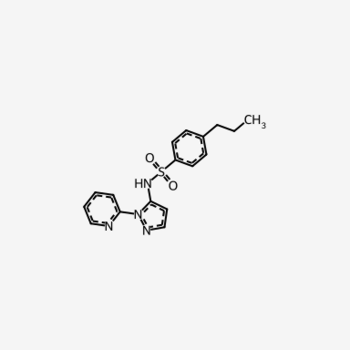 CCCc1ccc(S(=O)(=O)Nc2ccnn2-c2ccccn2)cc1